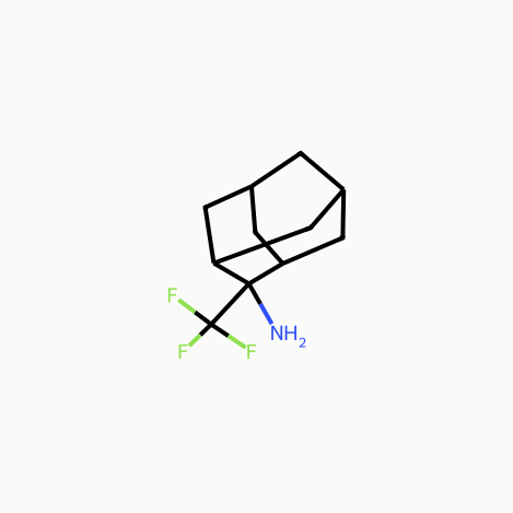 NC1(C(F)(F)F)C2CC3CC(C2)CC1C3